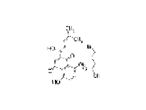 CC(C)=CC[C@@H](O)C1=CC(=O)c2c(O)ccc(O)c2C1=O.O=C(O)CCCBr